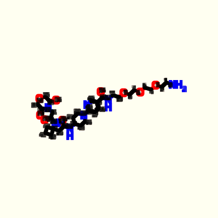 NCCOCCOCCOCCNC(=O)c1ccc(N2CCC(NC(=O)CC3(NC(=O)CN4C(=O)COCC4=O)CCC3)CC2)nc1